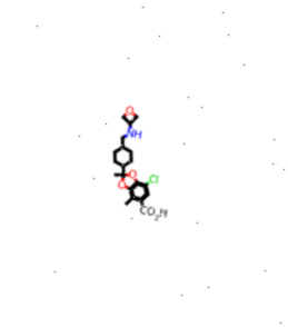 Cc1c(C(=O)O)cc(Cl)c2c1OC(C)(C1CCC(CNC3COC3)CC1)O2